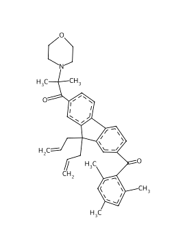 C=CCC1(CC=C)c2cc(C(=O)c3c(C)cc(C)cc3C)ccc2-c2ccc(C(=O)C(C)(C)N3CCOCC3)cc21